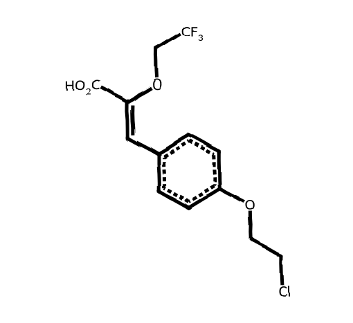 O=C(O)C(=Cc1ccc(OCCCl)cc1)OCC(F)(F)F